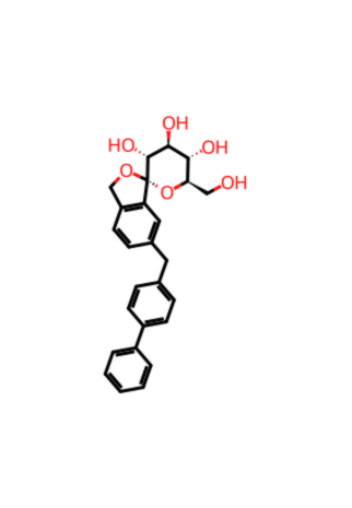 OC[C@H]1O[C@]2(OCc3ccc(Cc4ccc(-c5ccccc5)cc4)cc32)[C@H](O)[C@@H](O)[C@@H]1O